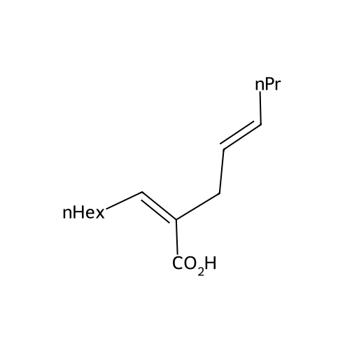 CCCC=CCC(=CCCCCCC)C(=O)O